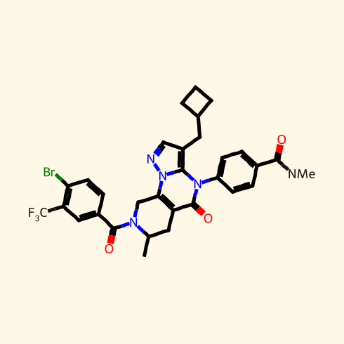 CNC(=O)c1ccc(-n2c(=O)c3c(n4ncc(CC5CCC5)c24)CN(C(=O)c2ccc(Br)c(C(F)(F)F)c2)C(C)C3)cc1